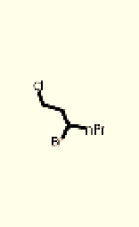 CCCC(Br)CCCl